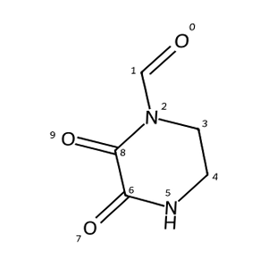 O=CN1CCNC(=O)C1=O